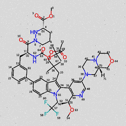 COC(=O)[C@@H]1CCCN(C(=O)[C@H](Cc2cccc(-c3ccc4c(c3)c(CC(C)(C)COC(C)=O)c(-c3cc(N5CCN6CCOC[C@@H]6C5)cnc3[C@H](C)OC)n4CC(F)(F)F)c2)NC(=O)OC(C)(C)C)N1